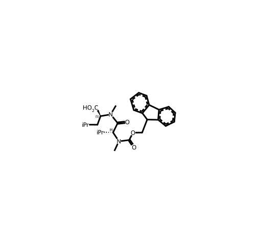 CC(C)C[C@@H](C(=O)O)N(C)C(=O)[C@@H](C(C)C)N(C)C(=O)OCC1c2ccccc2-c2ccccc21